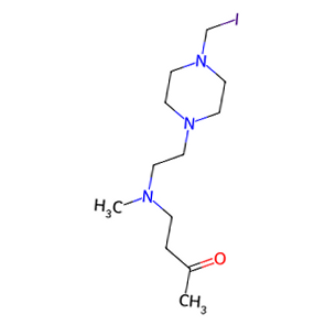 CC(=O)CCN(C)CCN1CCN(CI)CC1